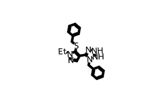 CCn1ncc(C2=NNNN2Cc2ccccc2)c1SCc1ccccc1